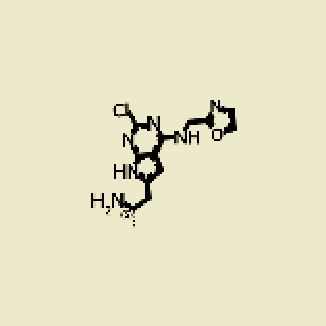 C[C@H](N)Cc1cc2c(NCc3ncco3)nc(Cl)nc2[nH]1